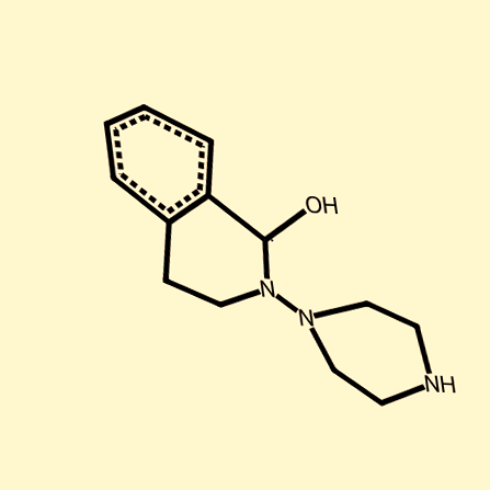 O[C]1c2ccccc2CCN1N1CCNCC1